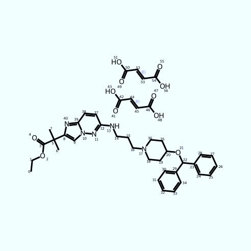 CCOC(=O)C(C)(C)c1cn2nc(NCCCN3CCC(OC(c4ccccc4)c4ccccc4)CC3)ccc2n1.O=C(O)/C=C/C(=O)O.O=C(O)/C=C/C(=O)O